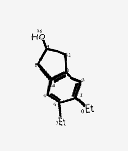 CCc1cc2c(cc1CC)CC(O)C2